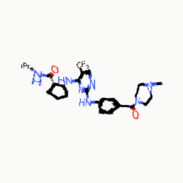 CC(C)NC(=O)[C@H]1CCC[C@H]1Nc1nc(Nc2ccc(C(=O)N3CCCN(C)CC3)cc2)ncc1C(F)(F)F